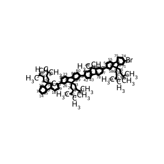 CC(C)CCC1(CCC(C)C)c2ccccc2-c2ccc(-c3ccc4c(c3)C(CCC(C)C)(CCC(C)C)c3cc(-c5ccc6c(c5)C(C)(C)c5cc(-c7ccc8c(c7)C(CCC(C)C)(CCC(C)C)c7cc(Br)ccc7-8)ccc5-6)ccc3-4)cc21